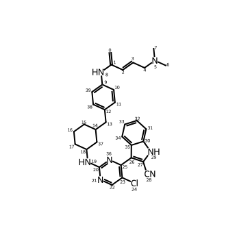 C=C(/C=C/CN(C)C)Nc1ccc(CC2CCCC(Nc3ncc(Cl)c(-c4c(C#N)[nH]c5ccccc45)n3)C2)cc1